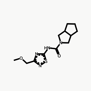 COCc1nsc(NC(=O)N2CC3CCCC3C2)n1